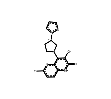 N#Cc1c(N2CC[C@@H](n3cccn3)C2)c2nc(Cl)ccc2[nH]c1=O